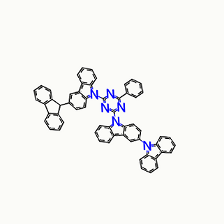 c1ccc(-c2nc(-n3c4ccccc4c4cc(C5c6ccccc6-c6ccccc65)ccc43)nc(-n3c4ccccc4c4cc(-n5c6ccccc6c6ccccc65)ccc43)n2)cc1